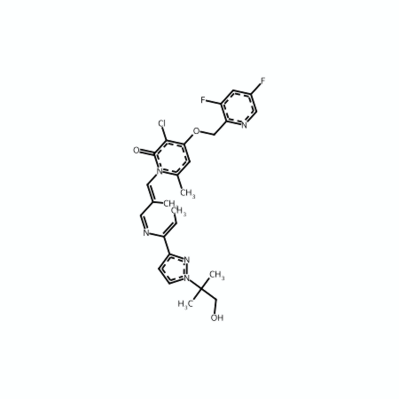 C\C=C(/N=C\C(C)=C\n1c(C)cc(OCc2ncc(F)cc2F)c(Cl)c1=O)c1ccn(C(C)(C)CO)n1